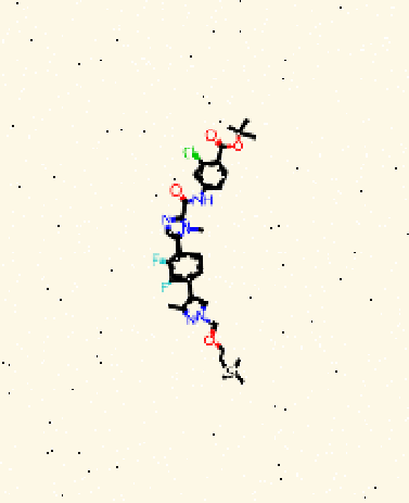 Cc1nn(COCC[Si](C)(C)C)cc1-c1ccc(-c2cnc(C(=O)Nc3ccc(C(=O)OC(C)(C)C)c(Cl)c3)n2C)c(F)c1F